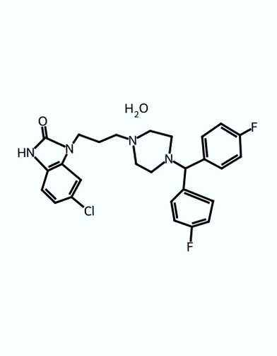 O.O=c1[nH]c2ccc(Cl)cc2n1CCCN1CCN(C(c2ccc(F)cc2)c2ccc(F)cc2)CC1